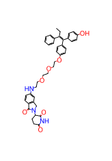 CCC(=C(c1ccc(O)cc1)c1ccc(OCCOCCOCCNc2ccc3c(c2)CN(C2CCC(=O)NC2=O)C3=O)cc1)c1ccccc1